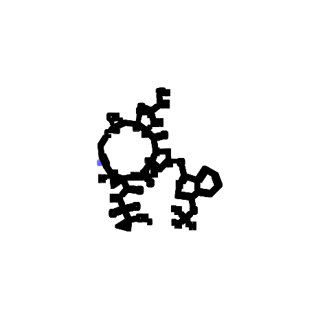 [2H]C([2H])([2H])Oc1cnc(O[C@@H]2C[C@H]3C(=O)NC4(C(=O)NS(=O)(=O)C5(C)CC5)C[C@H]4/C=C\CC[C@H](C)C[C@@H](C)[C@H](NC(=O)NC(C)(C)C)C(=O)N3C2)c2ccccc12